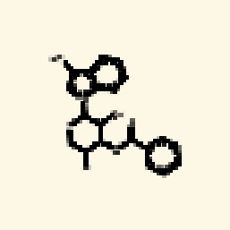 CCCc1cn(C2OCC(C)C(OC(=O)c3ccccc3)C2O)c2ccccc12